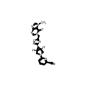 Cn1cnc2ncn(Cc3nc([C@H]4[C@@H]5CN(c6cccc(C#N)n6)C[C@@H]54)no3)c(=O)c21